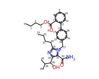 CCCCOC(=O)c1ccccc1-c1ccc(Cn2c(CCCC)nc(C(O)C(C)C)c2C(N)=O)cc1